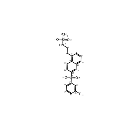 CS(=O)(=O)NCCc1cccc2cc(S(=O)(=O)c3cccc(F)c3)ccc12